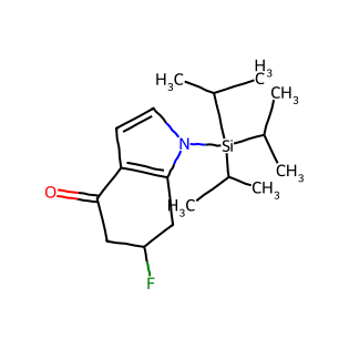 CC(C)[Si](C(C)C)(C(C)C)n1ccc2c1CC(F)CC2=O